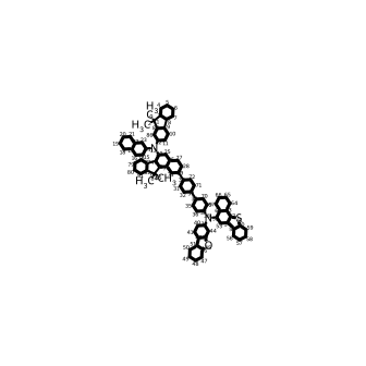 CC1(C)c2ccccc2-c2ccc(N(c3ccc4ccccc4c3)c3cc4ccc(-c5ccc(-c6ccc(N(c7ccc8c(c7)oc7ccccc78)c7cc8c9ccccc9sc8c8ccccc78)cc6)cc5)cc4c4c3-c3ccccc3C4(C)C)cc21